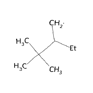 [CH2]C(CC)C(C)(C)C